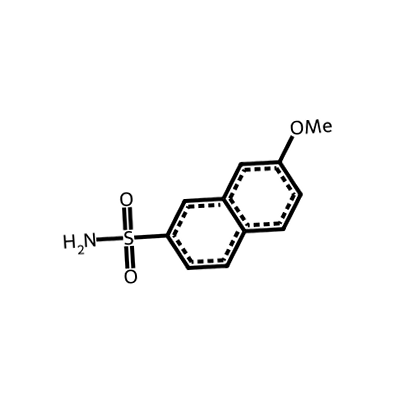 COc1ccc2ccc(S(N)(=O)=O)cc2c1